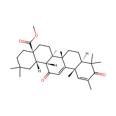 COC(=O)[C@]12CCC(C)(C)C[C@H]1[C@H]1C(=O)C=C3[C@@]4(C)C=C(C)C(=O)C(C)(C)[C@@H]4CC[C@@]3(C)[C@]1(C)CC2